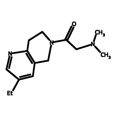 CCc1cnc2c(c1)CN(C(=O)CN(C)C)CC2